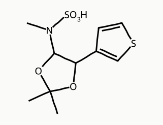 CN(C1OC(C)(C)OC1c1ccsc1)S(=O)(=O)O